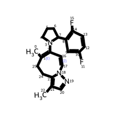 C/C1=C(N2CCCC2c2cc(F)ccc2F)/C=C\n2ncc(C)c2CC1